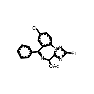 CCc1nc2n(n1)-c1ccc(Cl)cc1C(c1ccccc1)=NC2OC(C)=O